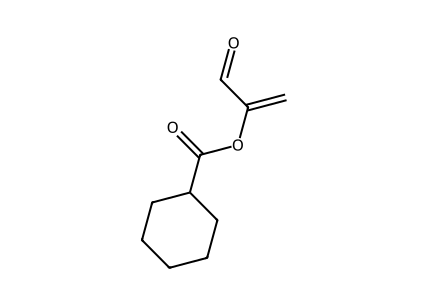 C=C(C=O)OC(=O)C1CCCCC1